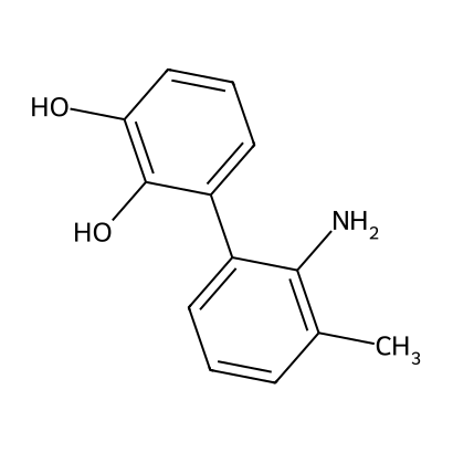 Cc1cccc(-c2cccc(O)c2O)c1N